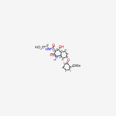 COc1ccccc1Oc1ccc2c(O)c(C(=O)NCC(=O)O)c(=O)n(C)c2c1